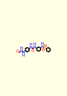 O=CNNc1ccc(NC(=O)Nc2cccc(NS(=O)(=O)c3ccccc3)c2)cc1